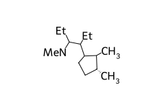 CCC(NC)C(CC)C1CC[C@@H](C)C1C